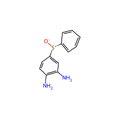 Nc1ccc([S+]([O-])c2ccccc2)cc1N